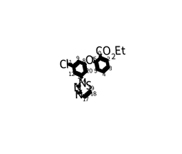 CCOC(=O)c1ccccc1Oc1cc(Cl)cc(N2N=NC=CS2)c1